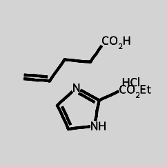 C=CCCC(=O)O.CCOC(=O)c1ncc[nH]1.Cl